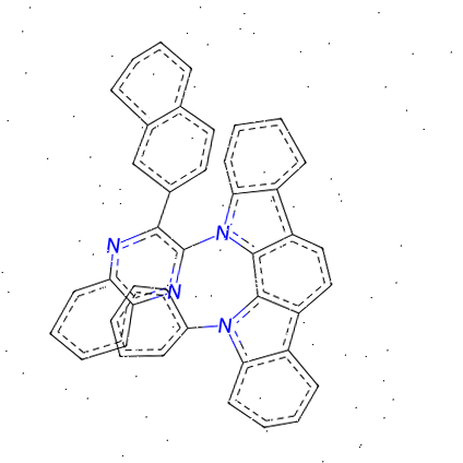 c1ccc(-n2c3ccccc3c3ccc4c5ccccc5n(-c5nc6ccccc6nc5-c5ccc6ccccc6c5)c4c32)cc1